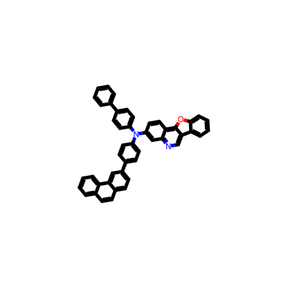 c1ccc(-c2ccc(N(c3ccc(-c4ccc5ccc6ccccc6c5c4)cc3)c3ccc4c(c3)ncc3c5ccccc5oc43)cc2)cc1